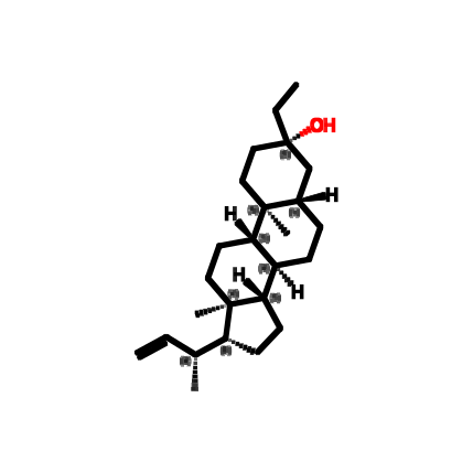 C=C[C@@H](C)[C@H]1CC[C@H]2[C@@H]3CC[C@H]4C[C@](O)(CC)CC[C@]4(C)[C@H]3CC[C@]12C